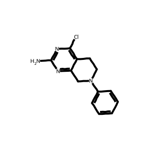 Nc1nc(Cl)c2c(n1)CN(c1ccccc1)CC2